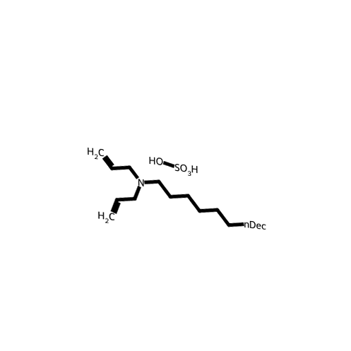 C=CCN(CC=C)CCCCCCCCCCCCCCCC.O=S(=O)(O)O